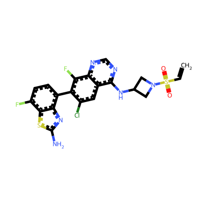 C=CS(=O)(=O)N1CC(Nc2ncnc3c(F)c(-c4ccc(F)c5sc(N)nc45)c(Cl)cc23)C1